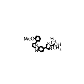 COc1ccccc1C1CCc2nc3ccc(-c4cnc(C(C)(C)O)nc4)cc3n21